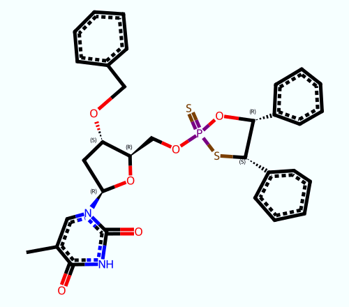 Cc1cn([C@H]2C[C@H](OCc3ccccc3)[C@@H](COP3(=S)O[C@H](c4ccccc4)[C@H](c4ccccc4)S3)O2)c(=O)[nH]c1=O